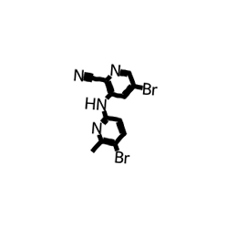 Cc1nc(Nc2cc(Br)cnc2C#N)ccc1Br